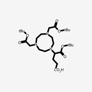 CC(C)(C)OC(=O)CN1CCN(CC(=O)OC(C)(C)C)CCN(C(CCC(=O)O)C(=O)OC(C)(C)C)CC1